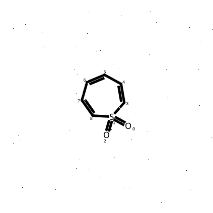 O=S1(=O)C=CC=CC=C1